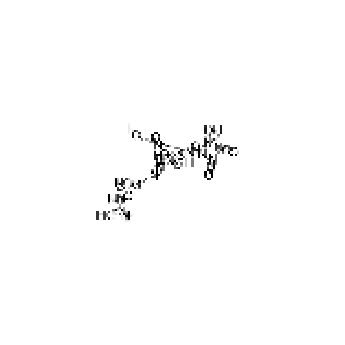 C#C[C@H]1CC(F)(F)CN1C(=O)CNC(=O)c1ccnc2ccc(OCCCCN3CCN(C(=O)CN4C(=O)CC(SC(CCCCCNC(=O)CCCc5ccc(I)cc5)CNC(=O)CN5CCN(COC=O)CCN(COC=O)CCN(CC(=O)O)CC5)C4=O)CC3)cc12